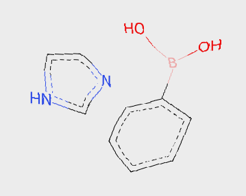 OB(O)c1ccccc1.c1c[nH]cn1